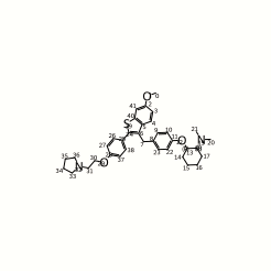 COc1ccc2c(Cc3ccc(O[C@@H]4CCCC[C@H]4N(C)C)cc3)c(-c3ccc(OCCN4CCCC4)cc3)sc2c1